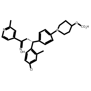 Cc1cc(/C(C[C@H](c2ccc(N3CCC(OC(=O)O)CC3)cc2)c2ccc(Cl)cc2C)=N/O)ccn1